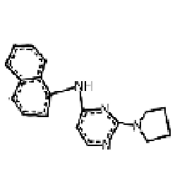 [c]1ccc(Nc2ccnc(N3CCCC3)n2)c2ccccc12